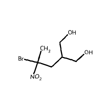 CC(Br)(CC(CO)CO)[N+](=O)[O-]